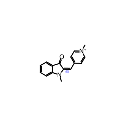 CN1/C(=C/c2cc[n+](C)cc2)C(=O)c2ccccc21